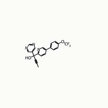 CC#CC(O)(c1cncnc1)c1ccc(-c2ccc(OC(F)(F)F)cc2)cn1